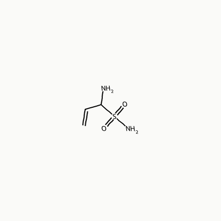 C=CC(N)S(N)(=O)=O